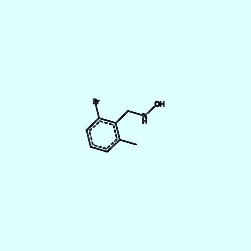 Cc1cccc(Br)c1CNO